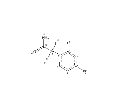 Cc1cc(Br)ccc1C(F)(F)C(N)=O